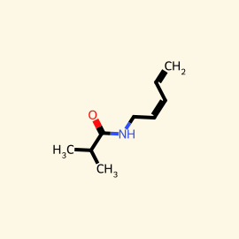 C=C/C=C\CNC(=O)C(C)C